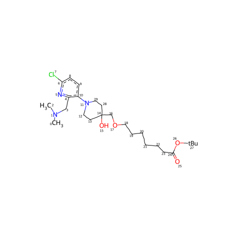 CN(C)Cc1nc(Cl)ccc1N1CCC(O)(COCCCCCCC(=O)OC(C)(C)C)CC1